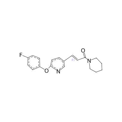 O=C(/C=C/c1ccc(Oc2ccc(F)cc2)nc1)N1CCCCC1